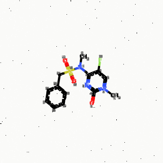 CN(c1nc(=O)n(C)cc1F)S(=O)(=O)Cc1ccccc1